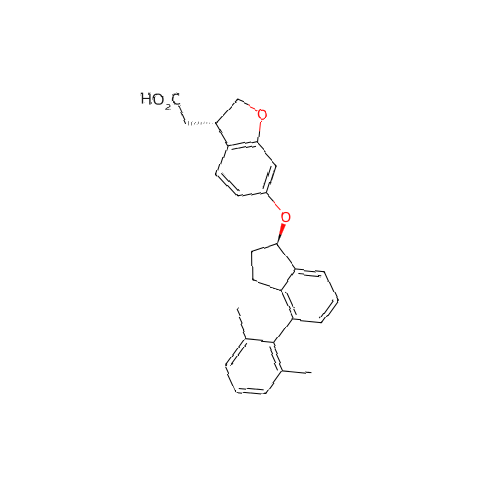 Cc1cccc(C)c1-c1cccc2c1CC[C@H]2Oc1ccc2c(c1)OC[C@H]2CC(=O)O